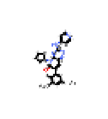 COc1cc(OC)c(C)c(-c2cc3nnc(Nc4ccncc4)nc3n(C3CCCC3)c2=O)c1